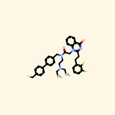 CCN(CC)CCN(Cc1ccc(-c2ccc(CF)cc2)cc1)C(=O)Cn1c(CCc2cccc(F)c2F)nc(=O)c2ccccc21